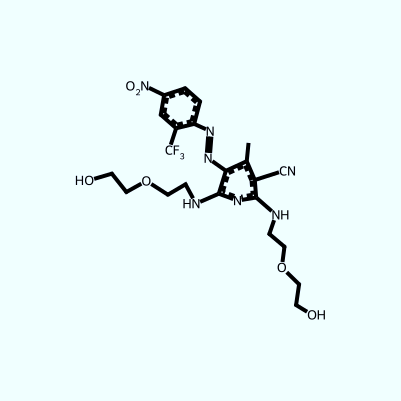 Cc1c(C#N)c(NCCOCCO)nc(NCCOCCO)c1N=Nc1ccc([N+](=O)[O-])cc1C(F)(F)F